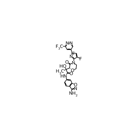 C[C@](O)(C(=O)Nc1ccc2c(N)noc2c1)[C@H]1OCCN(c2nn(-c3cnnc(C(F)(F)F)c3)cc2F)C1=O